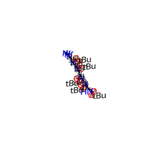 CC(C)(C)OC(=O)NCCCN(CCCN(CCCCN(CCCN(CCCN=[N+]=[N-])C(=O)OC(C)(C)C)C(=O)OC(C)(C)C)C(=O)OC(C)(C)C)C(=O)OC(C)(C)C